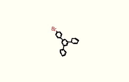 Brc1ccc(-c2cc(-c3ccccc3)cc(C3C=CC=CC3)c2)cc1